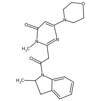 CC1Cc2ccccc2N1C(=O)Cc1nc(N2CCOCC2)cc(=O)n1C